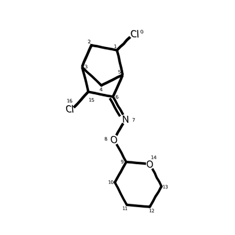 ClC1CC2CC1C(=NOC1CCCCO1)C2Cl